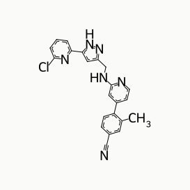 Cc1cc(C#N)ccc1-c1ccnc(NCc2cc(-c3cccc(Cl)n3)[nH]n2)c1